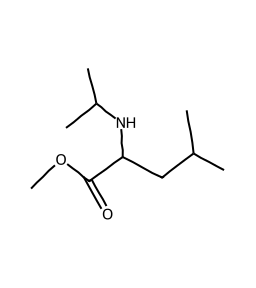 COC(=O)C(CC(C)C)NC(C)C